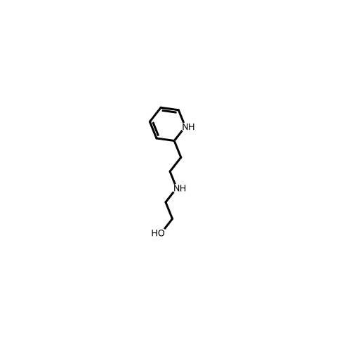 OCCNCCC1C=CC=CN1